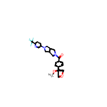 COC1(c2ccc(C(=O)N3CC4CN(c5ccc(C(F)(F)F)nc5)CC4C3)cc2)COC1